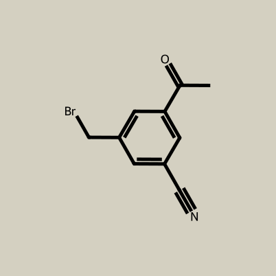 CC(=O)c1cc(C#N)cc(CBr)c1